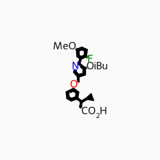 COc1ccc(F)c(-c2ncc(COc3cccc(C(CC(=O)O)C4CC4)c3)cc2OCC(C)C)c1